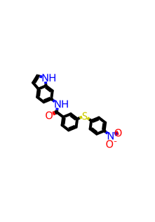 O=C(Nc1ccc2cc[nH]c2c1)c1cccc(Sc2ccc([N+](=O)[O-])cc2)c1